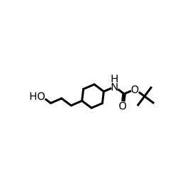 CC(C)(C)OC(=O)NC1CCC(CCCO)CC1